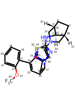 Cc1cc(N2C[C@H]3CC[C@@H](C2)[C@@H]3Nc2nc3c(-c4ccccc4OC(F)(F)F)cccn3n2)sn1